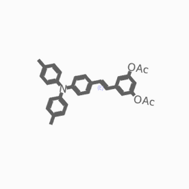 CC(=O)Oc1cc(/C=C/c2ccc(N(c3ccc(C)cc3)c3ccc(C)cc3)cc2)cc(OC(C)=O)c1